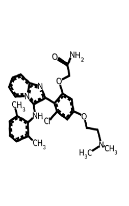 Cc1cccc(C)c1Nc1c(-c2c(Cl)cc(OCCN(C)C)cc2OCC(N)=O)nc2ccccn12